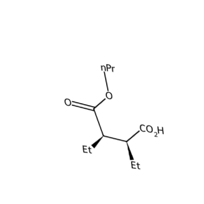 CCCOC(=O)[C@H](CC)[C@H](CC)C(=O)O